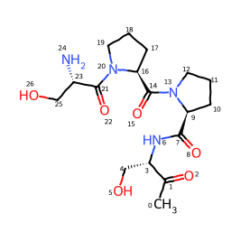 CC(=O)[C@H](CO)NC(=O)[C@@H]1CCCN1C(=O)[C@@H]1CCCN1C(=O)[C@@H](N)CO